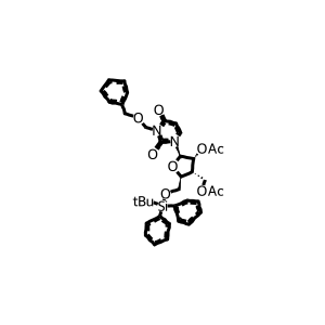 CC(=O)OC[C@H]1[C@@H](OC(C)=O)[C@H](n2ccc(=O)n(COCc3ccccc3)c2=O)O[C@@H]1CO[Si](c1ccccc1)(c1ccccc1)C(C)(C)C